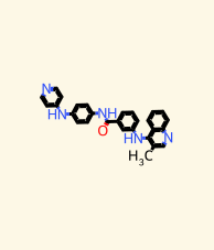 Cc1cnc2ccccc2c1Nc1cccc(C(=O)Nc2ccc(Nc3ccncc3)cc2)c1